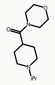 CC(C)N1CCC(C(=O)N2CCOCC2)CC1